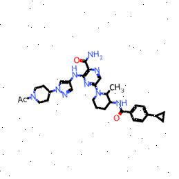 CC(=O)N1CCC(n2cc(Nc3nc(N4CCCC(NC(=O)c5ccc(C6CC6)cc5)C4C)cnc3C(N)=O)cn2)CC1